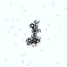 CCC(CC)COC(=O)[C@H](C)NP(=O)(OCc1ccccc1)OC[C@@]1(C)OC[C@@](OC(=O)C(C)C)(c2ccc3c(N)ncnn23)[C@@H]1OC(=O)C(C)C